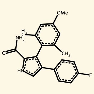 COc1cc(C)c(-c2c(-c3ccc(F)cc3)c[nH]c2C(N)=O)c(C)c1